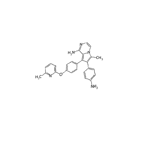 Cc1cccc(Oc2ccc(-c3c(-c4ccc(N)cc4)c(C)n4ccnc(N)c34)cc2)n1